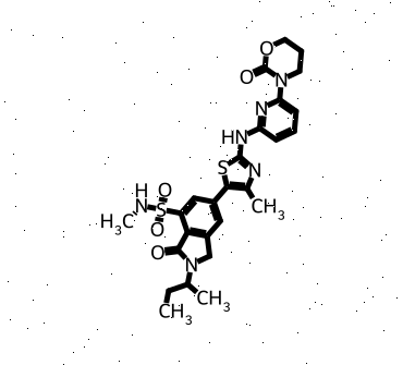 CCC(C)N1Cc2cc(-c3sc(Nc4cccc(N5CCCOC5=O)n4)nc3C)cc(S(=O)(=O)NC)c2C1=O